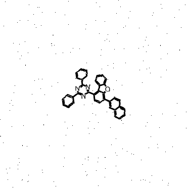 C1=CCC(c2nc(-c3ccccc3)nc(-c3ccc(-c4ccc5ccccc5c4)c4oc5ccccc5c34)n2)C=C1